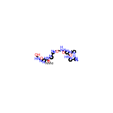 CNc1nc2nc(NCCO)oc2cc1C(=O)Nc1cccc(-c2cnn(COCCNc3nc4nc(N5CC6(CCCN6)C5)c(C(=O)Nc5cccc(-c6cnn(C)c6)n5)cc4o3)c2)n1